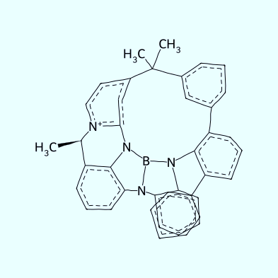 C[C@@H]1c2cccc3c2N2B4N3c3ccccc3N4c3c(-c4ccccc4)cccc3-c3cccc(c3)C(C)(C)c3cc[n+]1c2c3